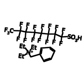 CC[N+](CC)(CC)Cc1ccccc1.O=S(=O)(O)C(F)(F)C(F)(F)C(F)(F)C(F)(F)C(F)(F)C(F)(F)C(F)(F)C(F)(F)F